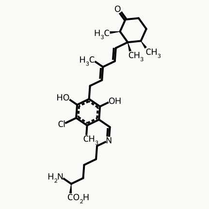 CC(/C=C/[C@@]1(C)[C@H](C)CCC(=O)[C@@H]1C)=C\Cc1c(O)c(Cl)c(C)c(/C=N\CCCC[C@H](N)C(=O)O)c1O